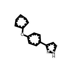 [c]1cc(-c2ccc(Oc3ccccc3)cc2)n[nH]1